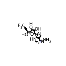 N/N=c1/nc[nH]c2c1cnn2[C@@H]1O[C@H]([C@H](O)C#CC(F)(F)F)[C@@H](O)[C@H]1O